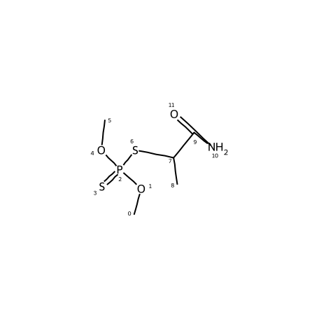 COP(=S)(OC)SC(C)C(N)=O